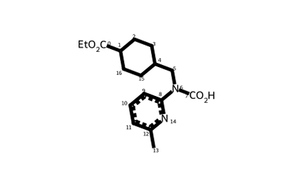 CCOC(=O)C1CCC(CN(C(=O)O)c2cccc(C)n2)CC1